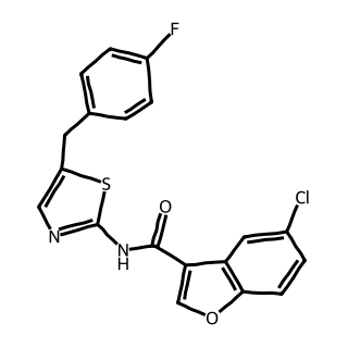 O=C(Nc1ncc(Cc2ccc(F)cc2)s1)c1coc2ccc(Cl)cc12